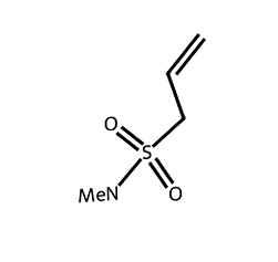 [CH2]NS(=O)(=O)CC=C